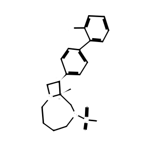 Cc1ccccc1-c1ccc([C@@H]2CN3CCCCN(S(C)(=O)=O)C[C@@H]23)cc1